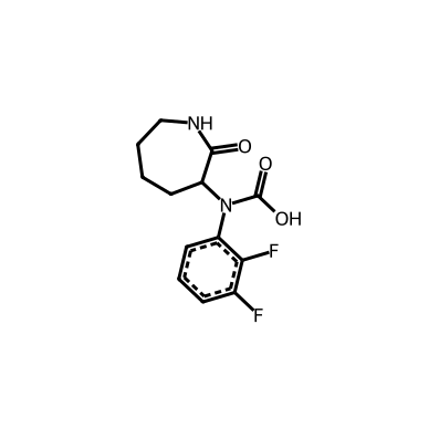 O=C1NCCCCC1N(C(=O)O)c1cccc(F)c1F